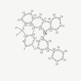 CC1(C)c2ccccc2-c2c3c1cccc3cc1c3ccccc3n(-c3cccc(-c4ccccc4)c3)c21